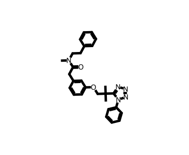 CN(CCc1ccccc1)C(=O)Cc1cccc(OCC(C)(C)c2nnnn2-c2ccccc2)c1